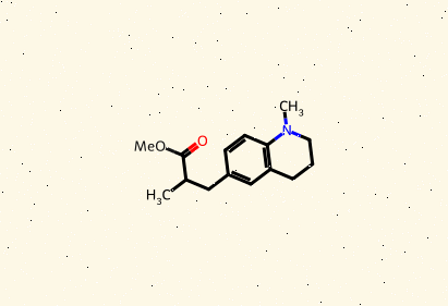 COC(=O)C(C)Cc1ccc2c(c1)CCCN2C